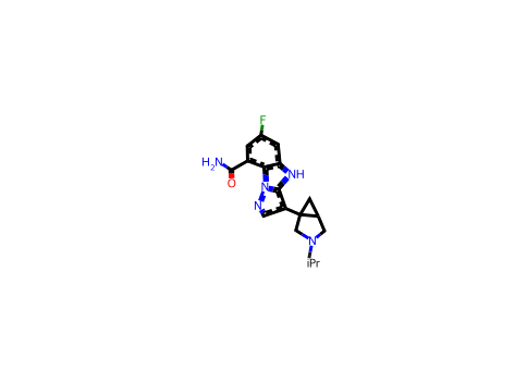 CC(C)N1CC2CC2(c2cnn3c2[nH]c2cc(F)cc(C(N)=O)c23)C1